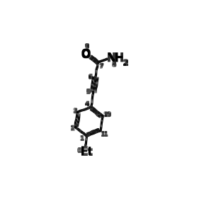 CCc1ccc(C#CC(N)=O)cc1